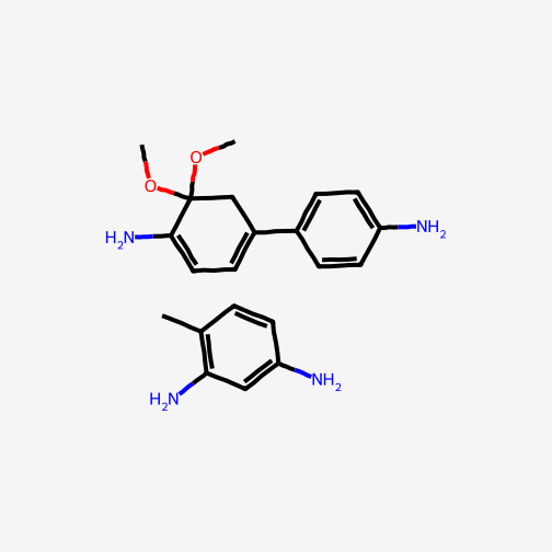 COC1(OC)CC(c2ccc(N)cc2)=CC=C1N.Cc1ccc(N)cc1N